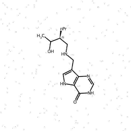 CCC[C@@H](CNCc1c[nH]c2c(=O)[nH]cnc12)C(C)O